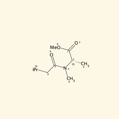 COC(=O)[C@H](C)N(C)C(=O)CC(C)C